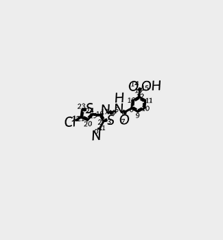 N#Cc1sc(NC(=O)c2cccc(C(=O)O)c2)nc1-c1cc(Cl)cs1